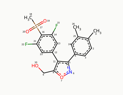 Cc1ccc(-c2noc(CO)c2-c2cc(F)c(S(C)(=O)=O)c(F)c2)cc1C